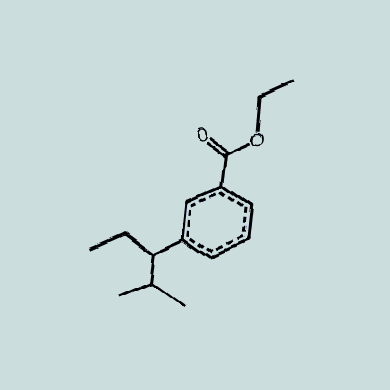 CCOC(=O)c1cccc(C(CC)C(C)C)c1